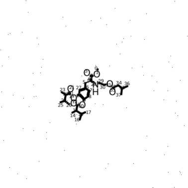 COC(=O)[C@H](Cc1ccc(OC(=O)C(C)C(C)C)c(OC(=O)C(C)C(C)C)c1)NCCOC(=O)CC(C)C